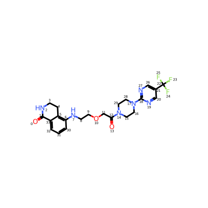 O=C1NCCc2c(NCCOCC(=O)N3CCN(c4ncc(C(F)(F)F)cn4)CC3)cccc21